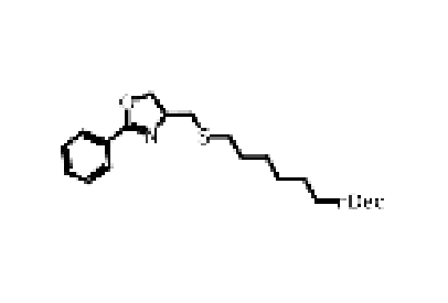 CCCCCCCCCCCCCCCCSCC1COC(c2ccccc2)=N1